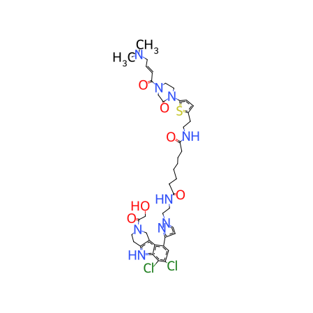 CN(C)C/C=C/C(=O)N1CCN(c2ccc(CCNC(=O)CCCCCCC(=O)NCCn3ccc(-c4cc(Cl)c(Cl)c5[nH]c6c(c45)CN(C(=O)CO)CC6)n3)s2)C(=O)C1